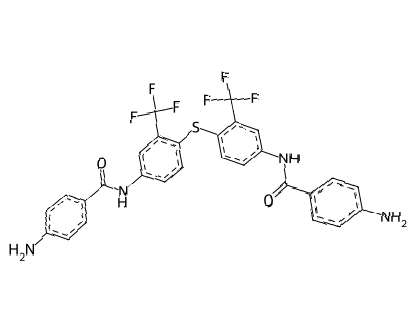 Nc1ccc(C(=O)Nc2ccc(Sc3ccc(NC(=O)c4ccc(N)cc4)cc3C(F)(F)F)c(C(F)(F)F)c2)cc1